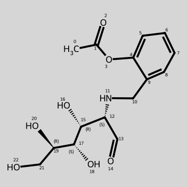 CC(=O)Oc1ccccc1CN[C@H](C=O)[C@@H](O)[C@H](O)[C@H](O)CO